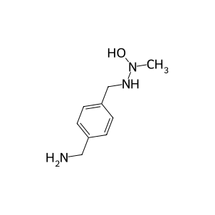 CN(O)NCc1ccc(CN)cc1